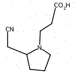 N#CCC1CCCN1CCC(=O)O